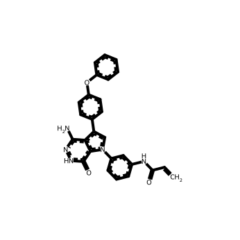 C=CC(=O)Nc1cccc(-n2cc(-c3ccc(Oc4ccccc4)cc3)c3c(N)n[nH]c(=O)c32)c1